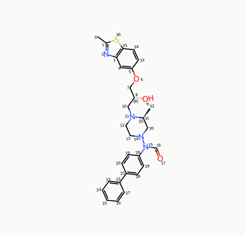 Cc1nc2cc(OC[C@H](O)CN3CCN(N(C=O)c4ccc(-c5ccccc5)cc4)C[C@@H]3C)ccc2s1